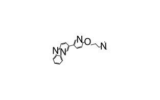 CN(C)CCCOc1ccc(-c2ccc3nc4ccccc4n3c2)cn1